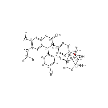 COc1cc2c(cc1OC(C)C)[C@H](c1ccc(Cl)cc1)N(c1ccc(C(C)(O)C3[C@@H]4CC[C@H]3CN(C)C4)cc1)C(=O)C2